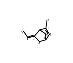 CC=C1CC2C=C(C)C1C2